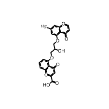 O=C(O)c1cc(=O)c2c(OCC(O)COc3cc([18F])cc4occc(=O)c34)cccc2o1